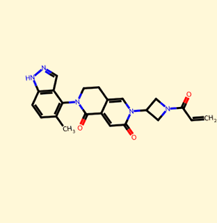 C=CC(=O)N1CC(n2cc3c(cc2=O)C(=O)N(c2c(C)ccc4[nH]ncc24)CC3)C1